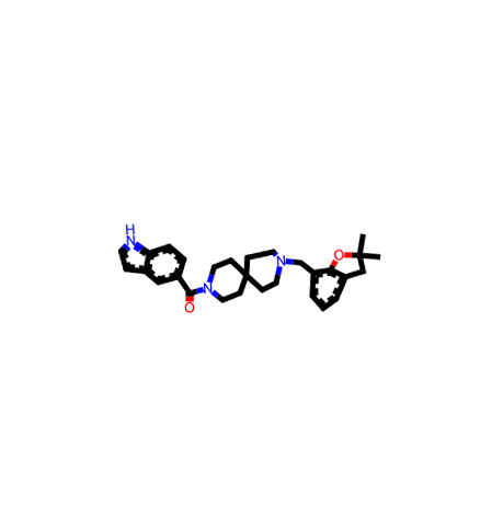 CC1(C)Cc2cccc(CN3CCC4(CC3)CCN(C(=O)c3ccc5[nH]ccc5c3)CC4)c2O1